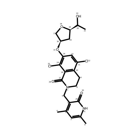 Cc1cc(C)c(CN2CCc3c(Cl)cc(O[C@H]4CO[C@@H](C(C)O)C4)c(Cl)c3C2=O)c(=O)[nH]1